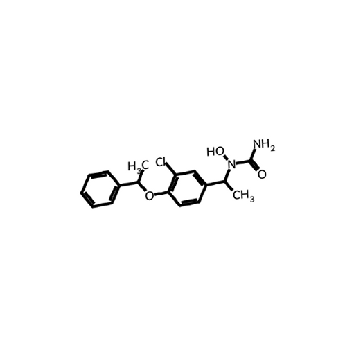 CC(Oc1ccc(C(C)N(O)C(N)=O)cc1Cl)c1ccccc1